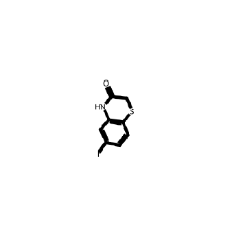 O=C1CSc2ccc(I)cc2N1